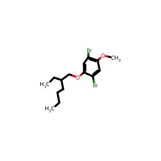 CCCCC(CC)COc1cc(Br)c(OC)cc1Br